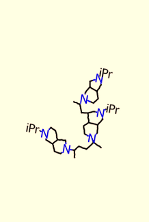 CC(C)N1CCC2CN(C(C)CCC(C)N3CCC4C(CC(C)N5CCC6CN(C(C)C)CC6C5)CN(C(C)C)CC4C3)CCC2C1